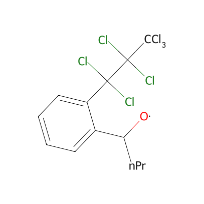 CCCC([O])c1ccccc1C(Cl)(Cl)C(Cl)(Cl)C(Cl)(Cl)Cl